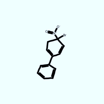 O=[N+]([O-])C1(Br)C=CC(c2ccccc2)=CC1